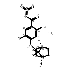 C.CC1(C)[C@H]2CC[C@]1(C)[C@H](Oc1cc(F)c(C(=O)N=S(=O)=O)cc1Cl)C2